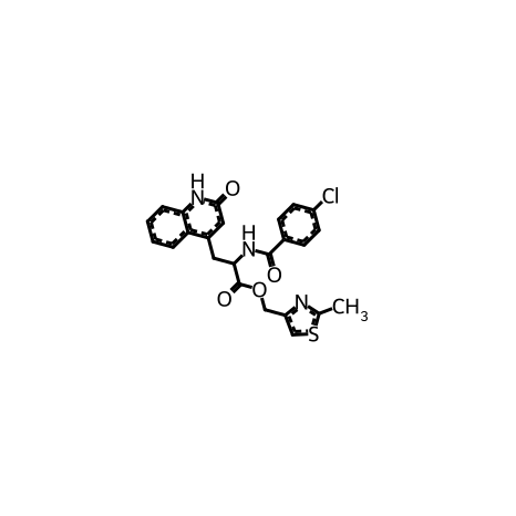 Cc1nc(COC(=O)C(Cc2cc(=O)[nH]c3ccccc23)NC(=O)c2ccc(Cl)cc2)cs1